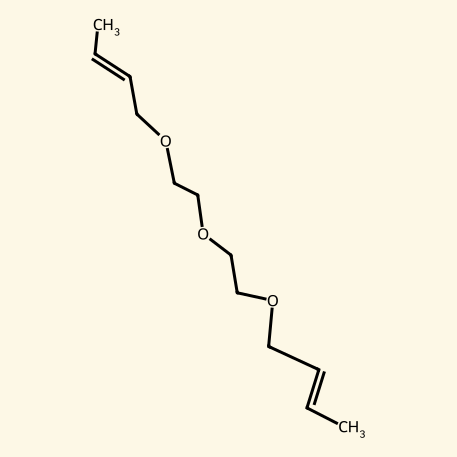 C/C=C/COCCOCCOC/C=C/C